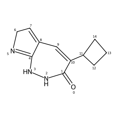 O=C1NNC2=NCC=C2C=C1C1CCC1